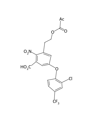 CC(=O)C(=O)OCCc1cc(Oc2ccc(C(F)(F)F)cc2Cl)cc(C(=O)O)c1[N+](=O)[O-]